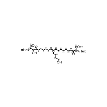 CCCCCCCCC(CCCCCC)C(O)OCCCCCCN(CCCCO)CCCCCCOC(=O)[C@@H](CCCCCC)CCCCCCCC